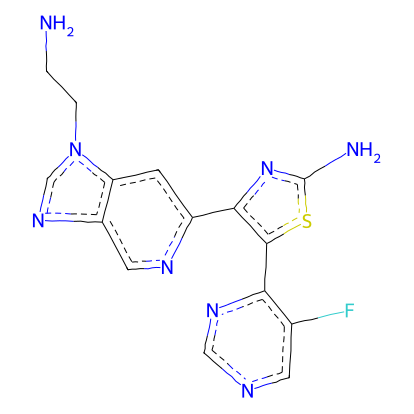 NCCn1cnc2cnc(-c3nc(N)sc3-c3ncncc3F)cc21